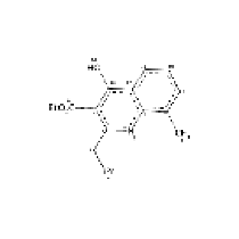 CCOC(=O)c1c(CC(C)C)nc2c(C(F)(F)F)cccc2c1O